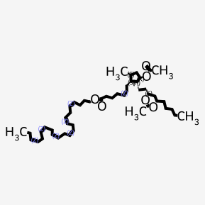 CC/C=C\C/C=C\C/C=C\C/C=C\C/C=C\C/C=C\CCCOC(=O)CCC/C=C\C[C@@H]1[C@@H](CC[C@H](CCCCCCC)OC(C)=O)[C@H](OC(C)=O)C[C@@H]1C